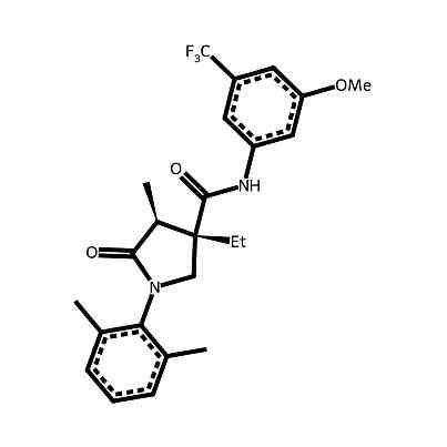 CC[C@@]1(C(=O)Nc2cc(OC)cc(C(F)(F)F)c2)CN(c2c(C)cccc2C)C(=O)[C@H]1C